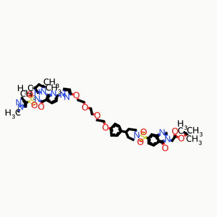 Cc1nn(C)cc1S(=O)(=O)NC(=O)c1ccc(-n2ccc(OCCOCCOCCOc3ccc(C4CCN(S(=O)(=O)c5ccc6c(=O)n(CC(=O)OC(C)(C)C)cnc6c5)CC4)cc3)n2)nc1N1C[C@@H](C)CC1(C)C